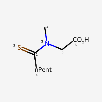 CCCCCC(=S)N(C)CC(=O)O